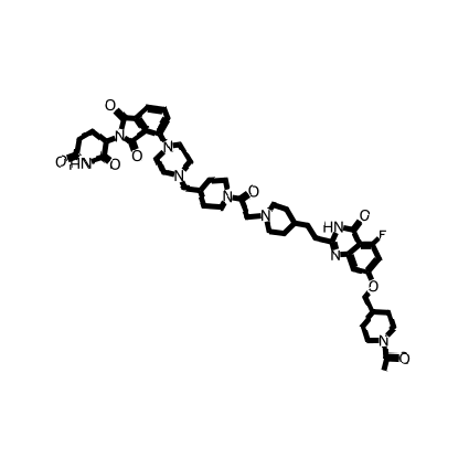 CC(=O)N1CCC(COc2cc(F)c3c(=O)[nH]c(CCC4CCN(CC(=O)N5CCC(CN6CCN(c7cccc8c7C(=O)N(C7CCC(=O)NC7=O)C8=O)CC6)CC5)CC4)nc3c2)CC1